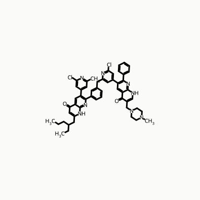 CCCC(CC)Cc1cc(=O)c2cc(-c3cc(C)nc(Cl)c3)c(-c3cccc(Cc4cc(-c5cc6c(=O)c(CN7CCN(C)CC7)c[nH]c6nc5-c5ccccc5)cc(Cl)n4)c3)nc2[nH]1